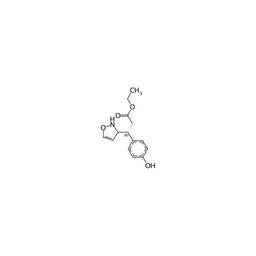 CCOC(=O)C[C@H](c1ccc(O)cc1)C1C=CON1